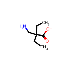 CCC(CC)(CN)C(=O)O